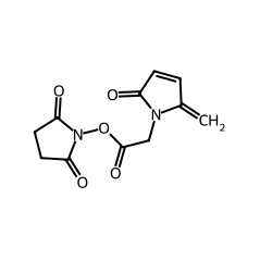 C=C1C=CC(=O)N1CC(=O)ON1C(=O)CCC1=O